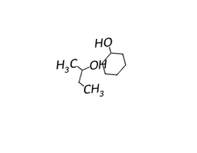 CCC(C)O.OC1CCCCC1